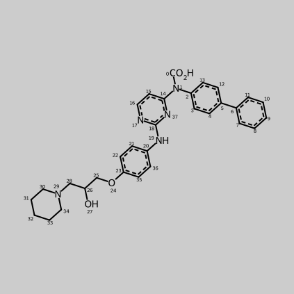 O=C(O)N(c1ccc(-c2ccccc2)cc1)c1ccnc(Nc2ccc(OCC(O)CN3CCCCC3)cc2)n1